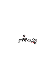 c1ccc(-c2cc(-c3ccc4c(ccc5ccccc54)c3)nc3cc(-c4ccc5cc(-c6ccc7c(c6)C(c6ccccc6)(c6ccccc6)c6ccccc6-7)ccc5c4)ccc23)cc1